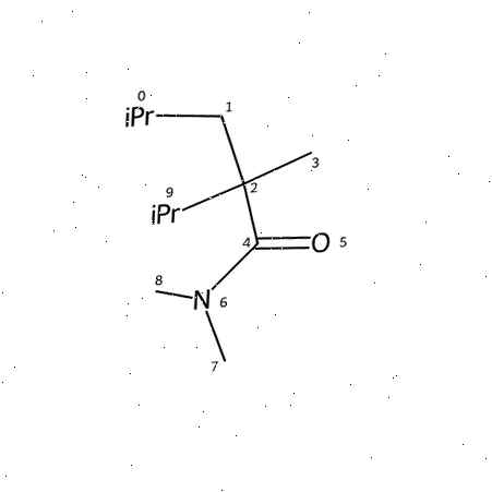 CC(C)CC(C)(C(=O)N(C)C)C(C)C